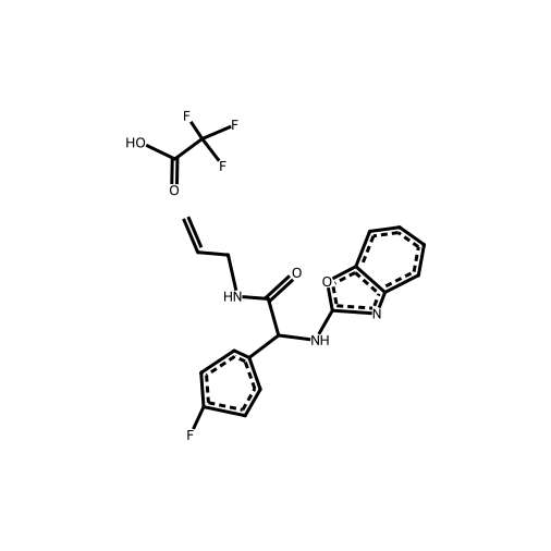 C=CCNC(=O)C(Nc1nc2ccccc2o1)c1ccc(F)cc1.O=C(O)C(F)(F)F